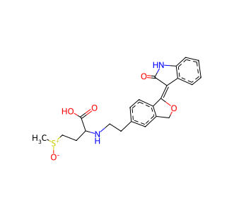 C[S+]([O-])CCC(NCCc1ccc2c(c1)COC2=C1C(=O)Nc2ccccc21)C(=O)O